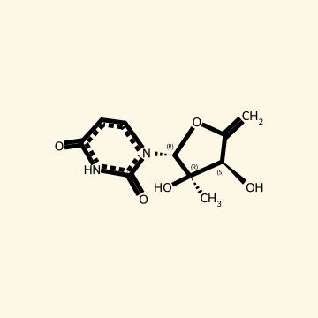 C=C1O[C@@H](n2ccc(=O)[nH]c2=O)[C@](C)(O)[C@@H]1O